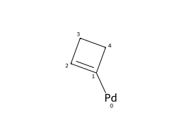 [Pd][C]1=CCC1